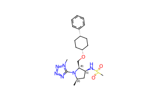 C[C@@H]1C[C@H](NS(C)(=O)=O)[C@H](CO[C@H]2CC[C@@H](c3ccccc3)CC2)N1c1nnnn1C